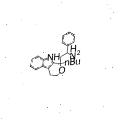 CCCCC1(CC(N)c2ccccc2)OCCc2c1[nH]c1ccccc21